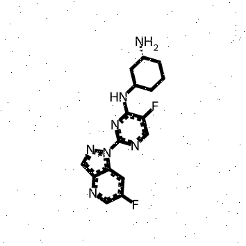 N[C@@H]1CCCC(Nc2nc(-n3ncc4ncc(F)cc43)ncc2F)C1